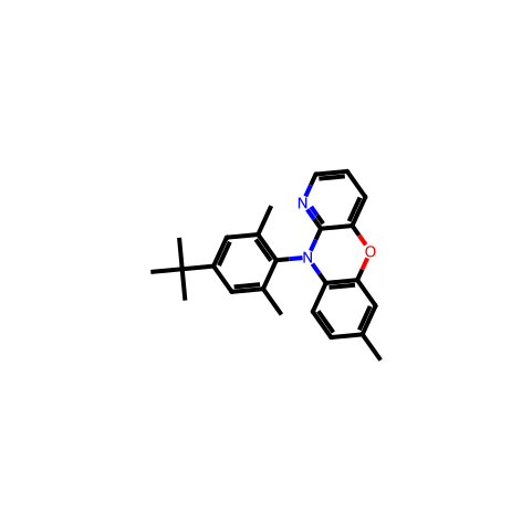 Cc1ccc2c(c1)Oc1cccnc1N2c1c(C)cc(C(C)(C)C)cc1C